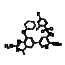 COc1ncc(-c2cc(OC3CCCCC3)c3nc(N)nc(C)c3c2)cc1NS(=O)(=O)c1ccc(F)cc1F